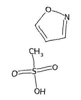 CS(=O)(=O)O.c1cnoc1